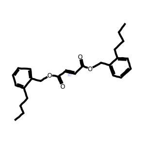 CCCCc1ccccc1COC(=O)/C=C/C(=O)OCc1ccccc1CCCC